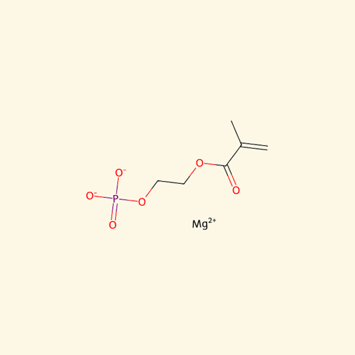 C=C(C)C(=O)OCCOP(=O)([O-])[O-].[Mg+2]